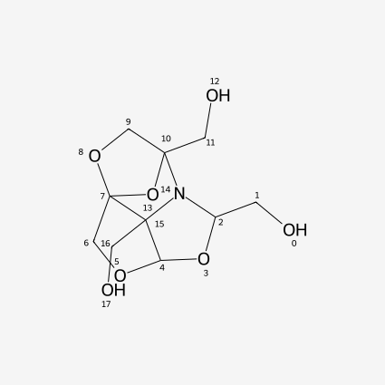 OCC1OC2OCC34OCC(CO)(O3)N1C24CO